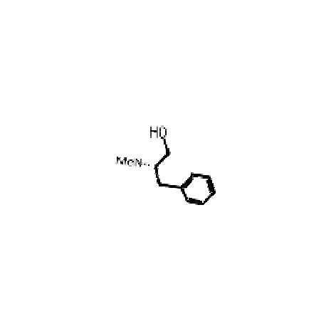 CN[C@H](CO)Cc1ccccc1